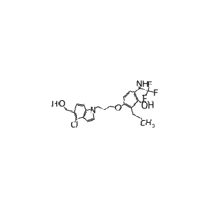 CCCc1c(OCCCn2ccc3c(Cl)c(CO)ccc32)ccc(C(=N)C(F)(F)F)c1O